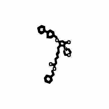 O=C(CCCC=CCC1C(OCc2ccc(-c3ccccc3)cc2)CC(=O)C1N1CCOCC1)OCCc1ccccc1